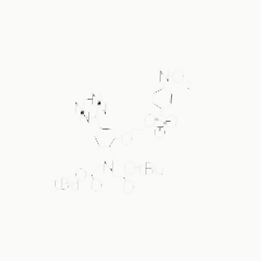 CC(C)(C)OC(=O)CN(CC(=O)OC(C)(C)C)Cc1ccc(-c2nncnn2)cc1OCCOS(=O)(=O)c1ccc([N+](=O)[O-])cc1